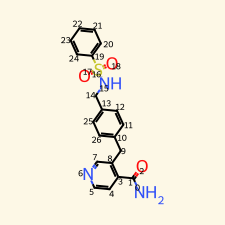 NC(=O)c1ccncc1Cc1ccc(CNS(=O)(=O)c2ccccc2)cc1